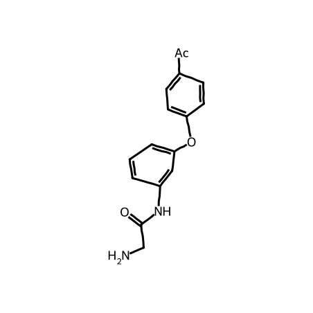 CC(=O)c1ccc(Oc2cccc(NC(=O)CN)c2)cc1